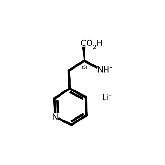 [Li+].[NH-][C@@H](Cc1cccnc1)C(=O)O